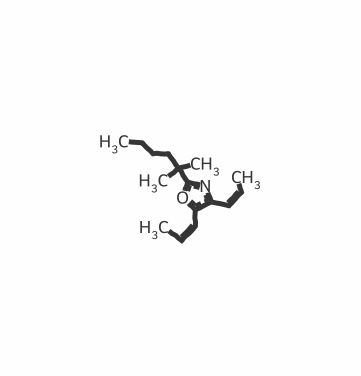 C/C=C\c1nc(C(C)(C)CCCC)oc1/C=C\C